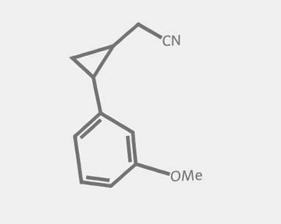 COc1cccc(C2CC2CC#N)c1